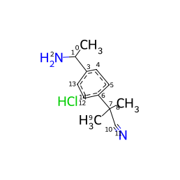 CC(N)c1ccc(C(C)(C)C#N)cc1.Cl